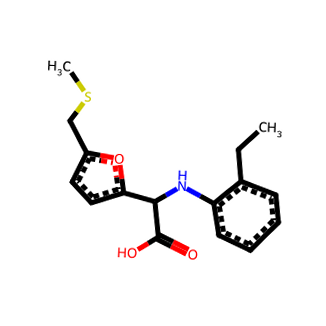 CCc1ccccc1NC(C(=O)O)c1ccc(CSC)o1